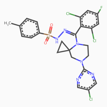 Cc1ccc(S(=O)(=O)N/N=C(/c2c(Cl)cc(F)cc2Cl)N2CCN(c3ncc(Cl)cn3)CC23CC3)cc1